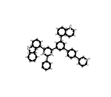 c1ccc(-c2nc(-c3cc(-c4ccc(-c5cccnc5)cc4)cc(-c4cccc5ncccc45)c3)cc(-c3cccc4oc5ccccc5c34)n2)cc1